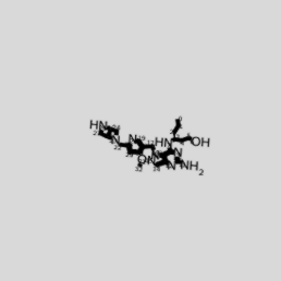 CCC[C@@H](CCO)Nc1nc(N)nc2cnn(Cc3cnc(CN4CC5NCC54)cc3OC)c12